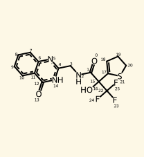 O=C(NCc1nc2ccccc2c(=O)[nH]1)C(O)(C1=CCCS1)C(F)(F)F